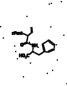 C=CC(CCCCC)C(=O)NC(Cc1ccccc1)C(=O)O